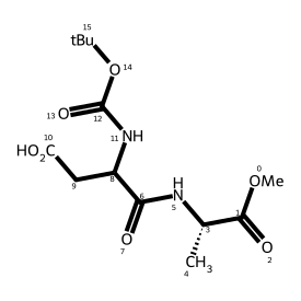 COC(=O)[C@H](C)NC(=O)C(CC(=O)O)NC(=O)OC(C)(C)C